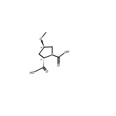 CO[C@@H]1C[C@@H](C(=O)O)N(C(=O)O)C1